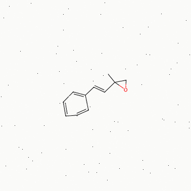 CC1(C=Cc2ccccc2)CO1